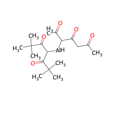 CC(=O)CC(=O)[CH]([AlH][CH](C(=O)C(C)(C)C)C(=O)C(C)(C)C)C(C)=O